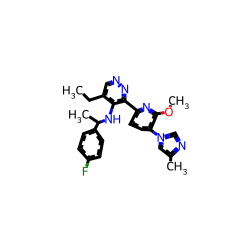 CCc1cnnc(-c2ccc(-n3cnc(C)c3)c(OC)n2)c1NC(C)c1ccc(F)cc1